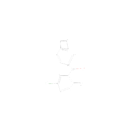 CCc1ccc(Br)cc1C(O)c1ccc2c(c1)CC2